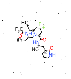 C#CC[C@H]1CC(F)(F)C[C@@H](C(=O)N[C@H](C#N)C[C@@H]2CCCNC2=O)N1C[C@@H](CC(C)C)NC(=O)C(F)(F)F